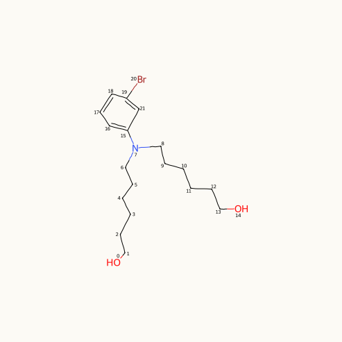 OCCCCCCN(CCCCCCO)c1cccc(Br)c1